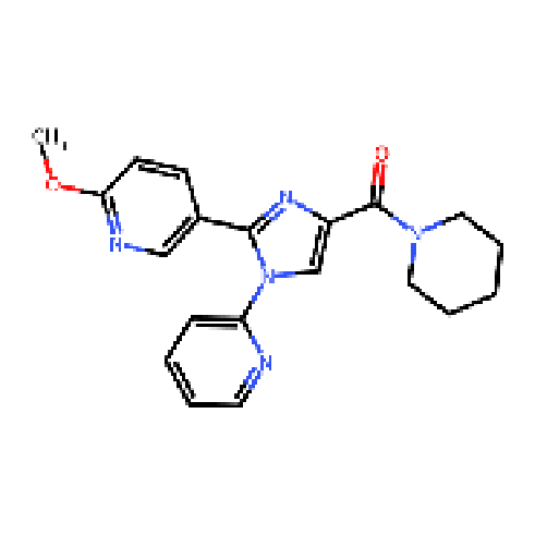 COc1ccc(-c2nc(C(=O)N3CCCCC3)cn2-c2ccccn2)cn1